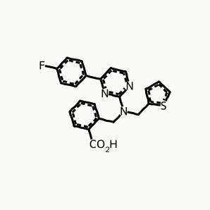 O=C(O)c1ccccc1CN(Cc1cccs1)c1nccc(-c2ccc(F)cc2)n1